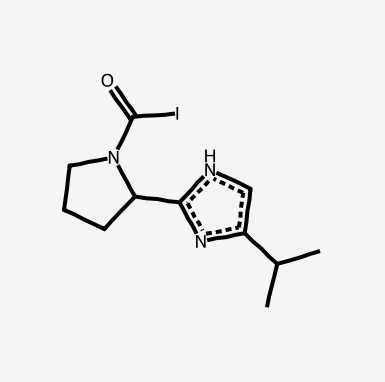 CC(C)c1c[nH]c(C2CCCN2C(=O)I)n1